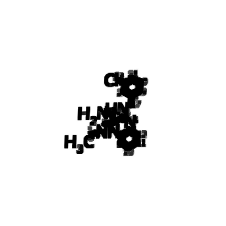 CCNCC1(CN)Nc2ccccc2N=C1NCc1cccc(Cl)c1